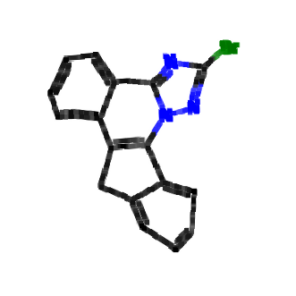 Brc1nc2c3ccccc3c3c(n2n1)-c1ccccc1C3